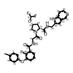 Cc1ccc(Oc2cccc(C(=O)NCC(=O)N3C[C@H](OC(F)F)C[C@H]3C(=O)NCc3cc4cnccc4[nH]3)c2F)cc1